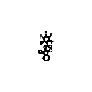 O=C(ON1C(=O)C2=C(CCCC2)C1=O)c1c(F)c(F)c(F)c(F)c1F